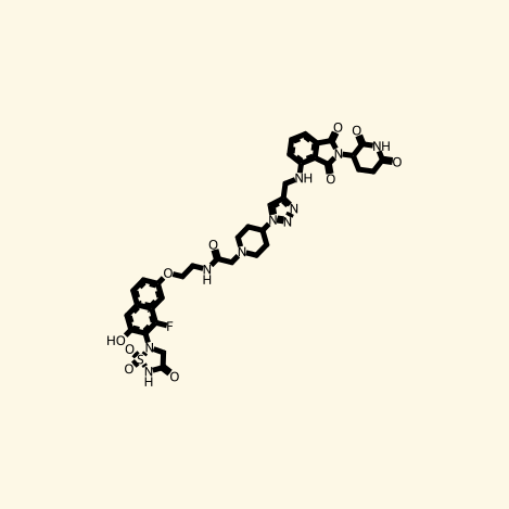 O=C(CN1CCC(n2cc(CNc3cccc4c3C(=O)N(C3CCC(=O)NC3=O)C4=O)nn2)CC1)NCCOc1ccc2cc(O)c(N3CC(=O)NS3(=O)=O)c(F)c2c1